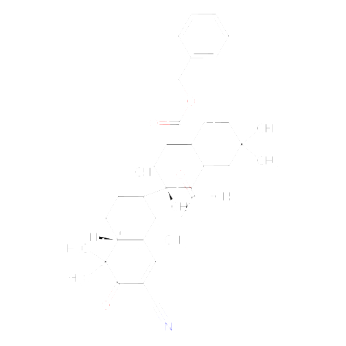 CC(=O)C[C@@H]1[C@@]2(C)C=C(C#N)C(=O)C(C)(C)[C@@H]2CC[C@@]1(C)[C@]1(C)CC[C@@]2(C(=O)OCc3ccccc3)CCC(C)(C)CC2C1